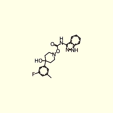 Cc1cc(F)cc(C2(O)CCN(OC(=O)Nc3n[nH]c4ccccc34)CC2)c1